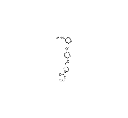 CNc1cccc(COc2ccc(OCC3CCN(C(=O)OC(C)(C)C)C3)cc2)c1